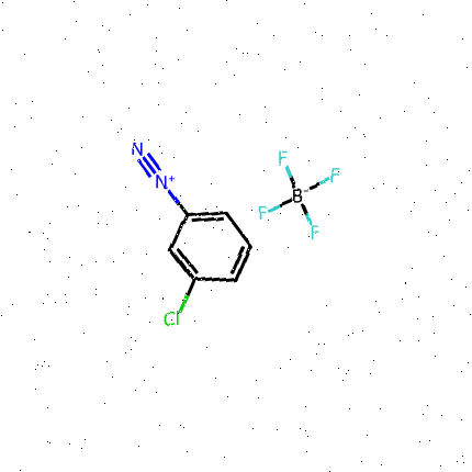 F[B-](F)(F)F.N#[N+]c1cccc(Cl)c1